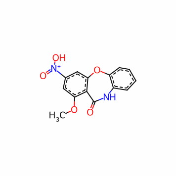 COc1cc([N+](=O)O)cc2c1C(=O)Nc1ccccc1O2